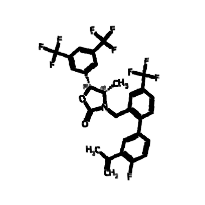 C=C(C)c1cc(-c2ccc(C(F)(F)F)cc2CN2C(=O)O[C@H](c3cc(C(F)(F)F)cc(C(F)(F)F)c3)[C@@H]2C)ccc1F